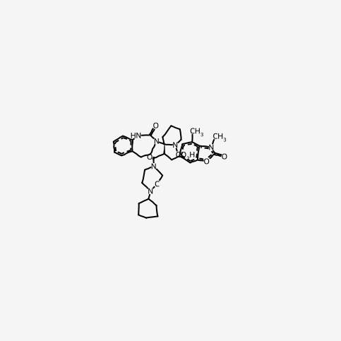 Cc1cc(CC(C(=O)N2CCN(C3CCCCC3)CC2)[C@@]2(N3CCc4ccccc4NC3=O)CCCCN2C(=O)O)cc2oc(=O)n(C)c12